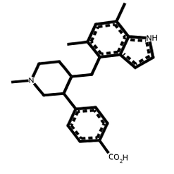 Cc1cc(C)c2[nH]ccc2c1CC1CCN(C)CC1c1ccc(C(=O)O)cc1